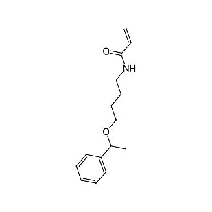 C=CC(=O)NCCCCOC(C)c1ccccc1